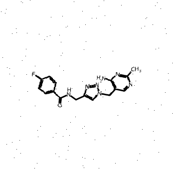 Cc1ncc(Cn2cc(CNC(=O)c3ccc(F)cc3)nn2)c(N)n1